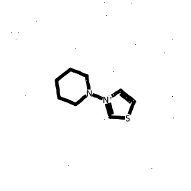 c1c[n+](N2CCCCC2)cs1